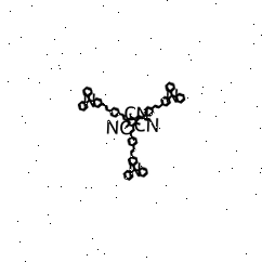 N#Cc1c(C=Cc2ccc(C=Cc3ccc(N(c4ccccc4)c4ccccc4)cc3)cc2)c(C#N)c(C=Cc2ccc(C=Cc3ccc(N(c4ccccc4)c4ccccc4)cc3)cc2)c(C#N)c1C=Cc1ccc(C=Cc2ccc(N(c3ccccc3)c3ccccc3)cc2)cc1